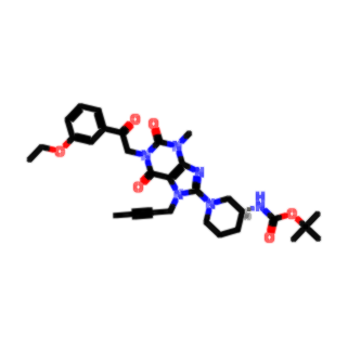 CC#CCn1c(N2CCC[C@@H](NC(=O)OC(C)(C)C)C2)nc2c1c(=O)n(CC(=O)c1cccc(OCC)c1)c(=O)n2C